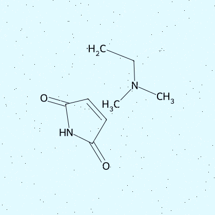 O=C1C=CC(=O)N1.[CH2]CN(C)C